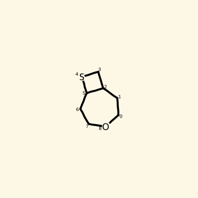 C1CC2CSC2CCO1